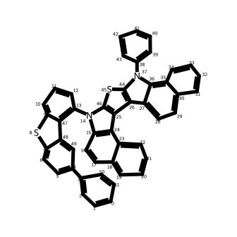 c1ccc(-c2ccc3sc4cccc(-n5c6ccc7ccccc7c6c6c7c8ccc9ccccc9c8n(-c8ccccc8)c7sc65)c4c3c2)cc1